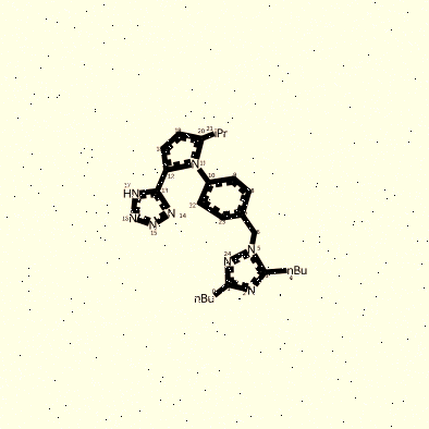 CCCCc1nc(CCCC)n(Cc2ccc(-n3c(-c4nnn[nH]4)ccc3C(C)C)cc2)n1